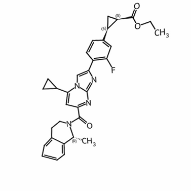 CCOC(=O)[C@@H]1C[C@@H]1c1ccc(-c2cn3c(C4CC4)cc(C(=O)N4CCc5ccccc5[C@H]4C)nc3n2)c(F)c1